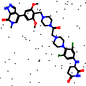 COc1cc(-c2cn(C)c(=O)c3[nH]ncc23)cc(OC)c1CN1CCN(C(=O)CN2CCN(c3c(F)cc(NC4CCC(=O)NC4=O)cc3F)CC2)CC1